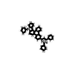 c1ccc(-c2cc(-c3ccc4c(c3)c3ccccc3c3c4ccc4c3c3ccccc3n4-c3ccccc3)nc(-c3ccccc3)n2)cc1